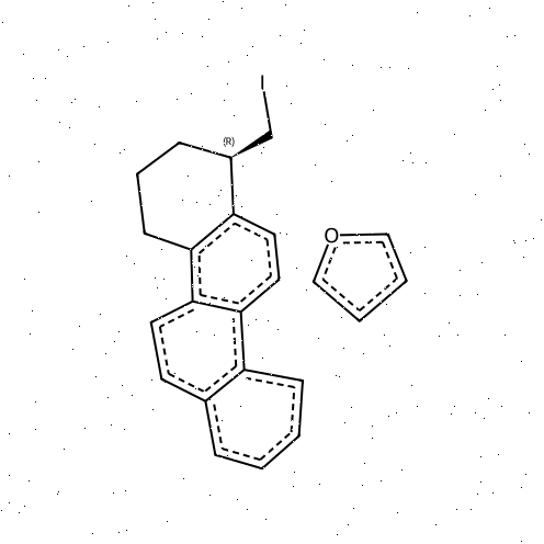 IC[C@@H]1CCCc2c1ccc1c2ccc2ccccc21.c1ccoc1